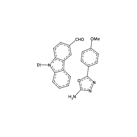 CCn1c2ccccc2c2cc(C=O)ccc21.COc1ccc(-c2nnc(N)o2)cc1